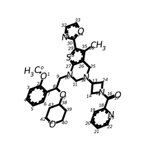 COc1ccccc1C(CN1CN(C2CN(C(=O)c3ccccn3)C2)Cc2c1sc(-c1ncco1)c2C)OC1CCOCC1